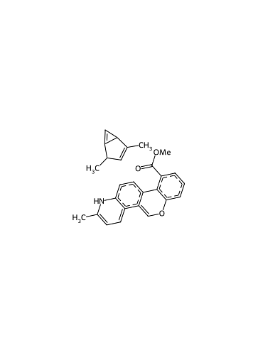 CC1=CC(C)C2=CC12.COC(=O)c1cccc2c1-c1ccc3c(c1=CO2)=CC=C(C)N3